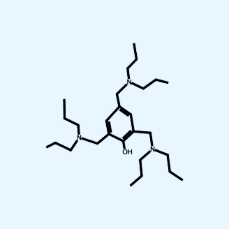 CCCN(CCC)Cc1cc(CN(CCC)CCC)c(O)c(CN(CCC)CCC)c1